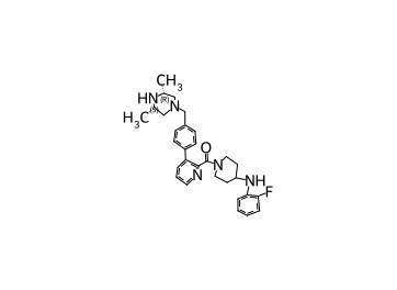 C[C@@H]1CN(Cc2ccc(-c3cccnc3C(=O)N3CCC(Nc4ccccc4F)CC3)cc2)C[C@H](C)N1